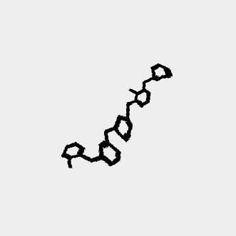 Cc1ccccc1Cc1cccc(Cc2cccc(Cc3cccc(Cc4cc#ccc4)c3C)c2)c1